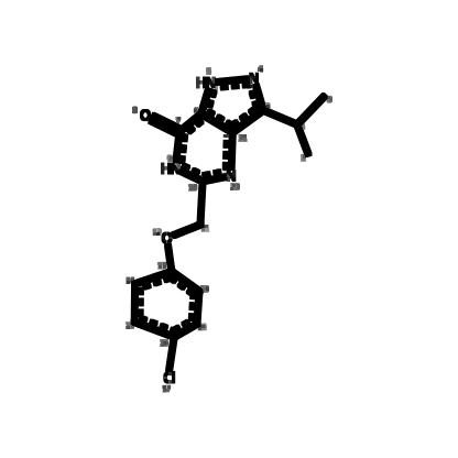 CC(C)c1n[nH]c2c(=O)[nH]c(COc3ccc(Cl)cc3)nc12